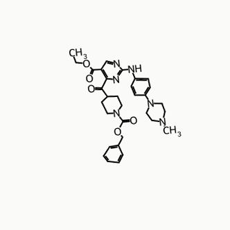 CCOC(=O)c1cnc(Nc2ccc(N3CCN(C)CC3)cc2)nc1C(=O)C1CCN(C(=O)OCc2ccccc2)CC1